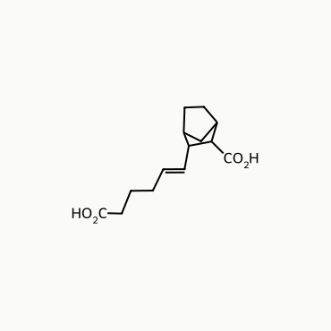 O=C(O)CCCC=CC1C2CCC(C2)C1C(=O)O